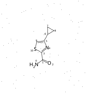 NC(=O)c1nc(C2CC2)cs1